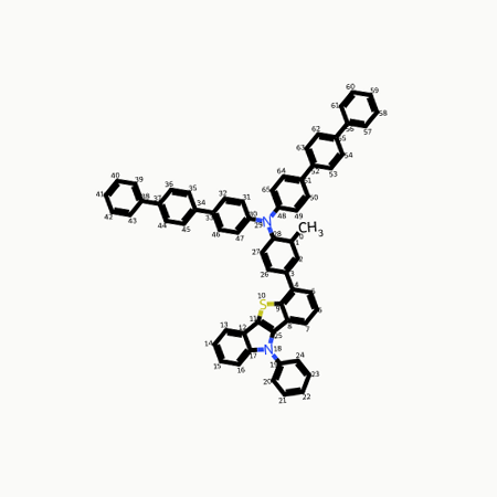 CC1C=C(c2cccc3c2sc2c4ccccc4n(-c4ccccc4)c32)C=CC1N(c1ccc(-c2ccc(-c3ccccc3)cc2)cc1)c1ccc(-c2ccc(-c3ccccc3)cc2)cc1